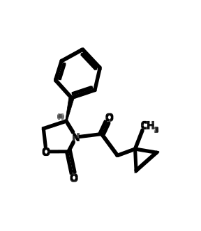 CC1(CC(=O)N2C(=O)OC[C@H]2c2ccccc2)CC1